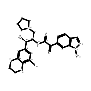 Cn1ncc2ccc(C(=O)C(=O)N[C@H](CN3CCCC3)[C@H](O)c3cc(F)c4c(c3)OCCO4)cc21